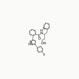 O=C(NC(CCO)Cc1ccccn1)c1ccccc1-c1cc(-c2ccc(F)cc2)[nH]n1